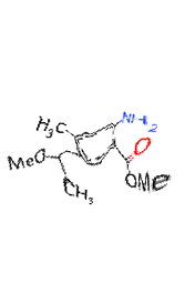 COC(=O)c1cc(C(C)OC)c(C)cc1N